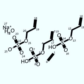 C=C.C=CCOS(=O)(=O)O.C=CCOS(=O)(=O)O.C=CCOS(=O)(=O)[O-].O.[Na+]